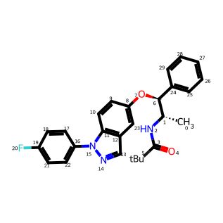 C[C@H](NC(=O)C(C)(C)C)[C@@H](Oc1ccc2c(cnn2-c2ccc(F)cc2)c1)c1ccccc1